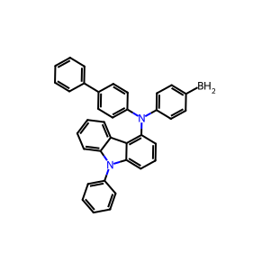 Bc1ccc(N(c2ccc(-c3ccccc3)cc2)c2cccc3c2c2ccccc2n3-c2ccccc2)cc1